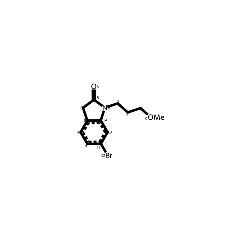 COCCCN1C(=O)Cc2ccc(Br)cc21